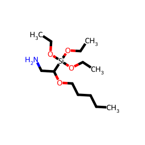 CCCCCOC(CN)[Si](OCC)(OCC)OCC